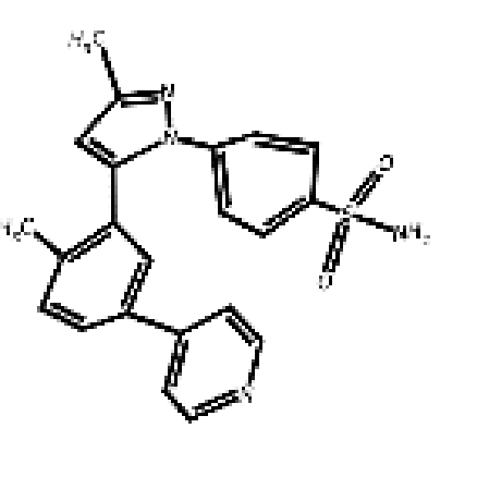 Cc1cc(-c2cc(-c3ccncc3)ccc2C)n(-c2ccc(S(N)(=O)=O)cc2)n1